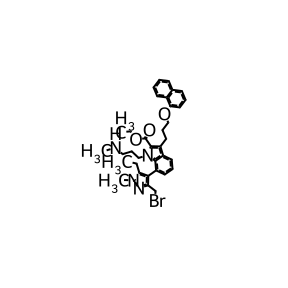 CCOC(=O)c1c(CCCOc2cccc3ccccc23)c2cccc(-c3c(CBr)nn(C)c3CC)c2n1CCCNC